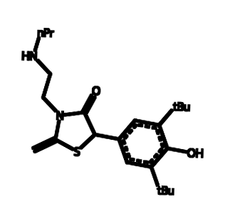 C=C1SC(c2cc(C(C)(C)C)c(O)c(C(C)(C)C)c2)C(=O)N1CCNCCC